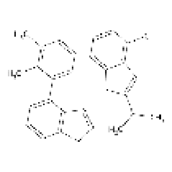 CC(C)C1=Cc2c(Cl)cccc2C1.Cc1cccc(-c2cccc3c2C=CC3)c1C